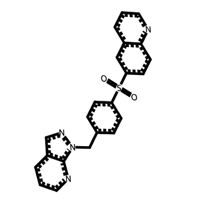 O=S(=O)(c1ccc(Cn2ncc3cccnc32)cc1)c1ccc2ncccc2c1